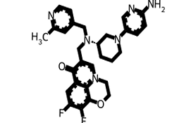 Cc1cc(CN(Cc2cn3c4c(c(F)c(F)cc4c2=O)OCC3)[C@H]2CCCN(c3ccc(N)nc3)C2)ccn1